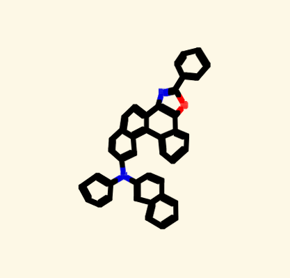 c1ccc(-c2nc3c4ccc5ccc(N(c6ccccc6)c6ccc7ccccc7c6)cc5c4c4ccccc4c3o2)cc1